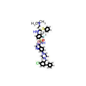 CN(C)CC[C@H](CSc1ccccc1)Nc1ccc(S(=O)(=O)Nc2ncnc3cc(N4CCN(Cc5cc(Cl)ccc5-c5ccccc5)CC4)ccc23)c(F)c1C(F)(F)F